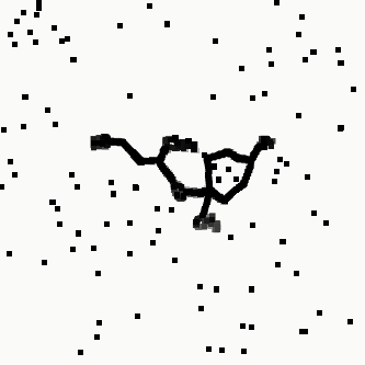 CC(C)C1CCC(C)(OC(O)CCO)CC1